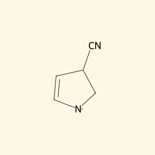 N#CC1C=C[N]C1